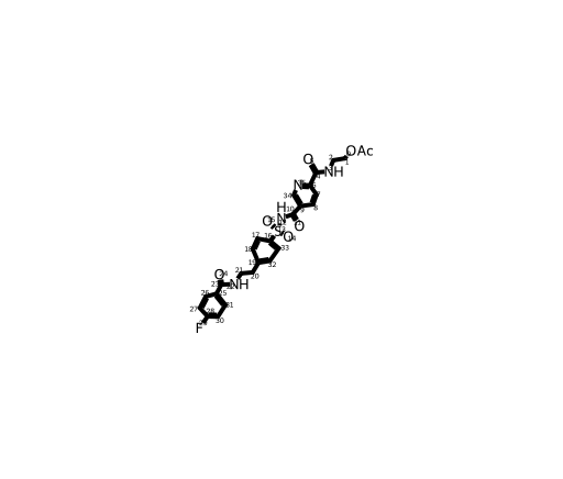 CC(=O)OCCNC(=O)c1ccc(C(=O)NS(=O)(=O)c2ccc(CCNC(=O)c3ccc(F)cc3)cc2)cn1